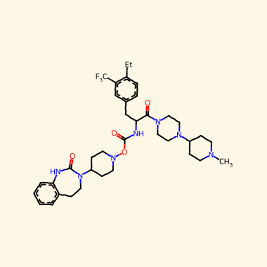 CCc1ccc(CC(NC(=O)ON2CCC(N3CCc4ccccc4NC3=O)CC2)C(=O)N2CCN(C3CCN(C)CC3)CC2)cc1C(F)(F)F